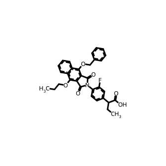 CCCOc1c2c(c(OCc3ccccc3)c3ccccc13)C(=O)N(c1ccc(C(CC)C(=O)O)cc1F)C2=O